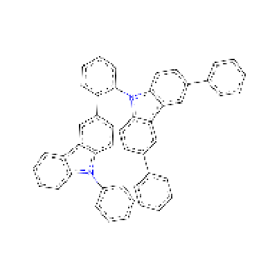 c1ccc(-c2ccc3c(c2)c2cc(-c4ccccc4)ccc2n3-c2ccccc2-c2ccc3c(c2)c2ccccc2n3-c2ccccc2)cc1